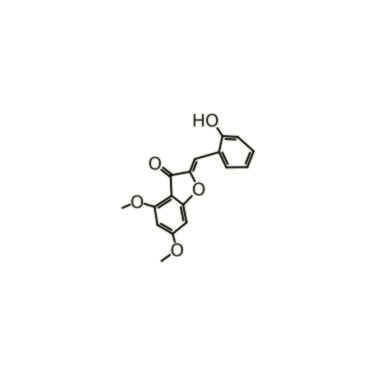 COc1cc(OC)c2c(c1)OC(=Cc1ccccc1O)C2=O